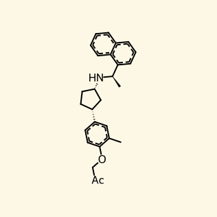 CC(=O)COc1ccc([C@@H]2CC[C@H](N[C@H](C)c3cccc4ccccc34)C2)cc1C